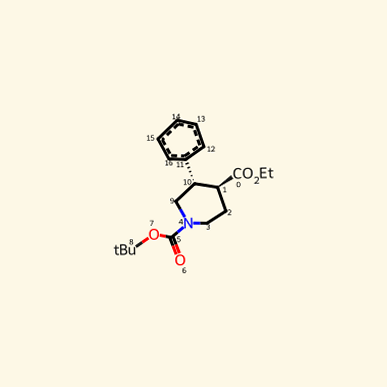 CCOC(=O)[C@H]1CCN(C(=O)OC(C)(C)C)C[C@@H]1c1ccccc1